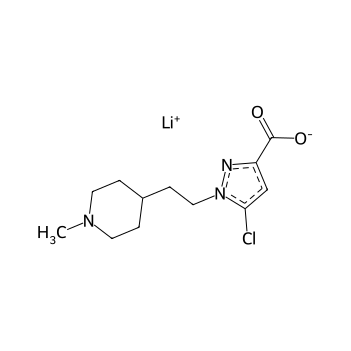 CN1CCC(CCn2nc(C(=O)[O-])cc2Cl)CC1.[Li+]